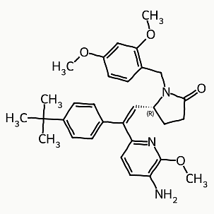 COc1ccc(CN2C(=O)CC[C@@H]2C=C(c2ccc(C(C)(C)C)cc2)c2ccc(N)c(OC)n2)c(OC)c1